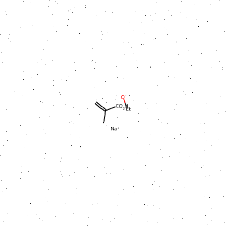 C=C(C)C(=O)O.CC[O-].[Na+]